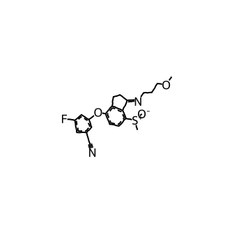 COCCCN=C1CCc2c(Oc3cc(F)cc(C#N)c3)ccc([S+](C)[O-])c21